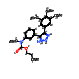 COCCOC(=O)N(OC)c1cccc(-c2[nH]nnc2-c2cc(OC)c(OC)c(OC)c2)c1